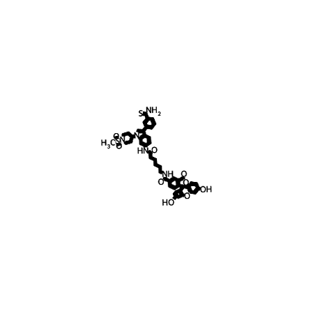 CS(=O)(=O)N1CCC(n2cc(-c3cccc(C(N)=S)c3)c3ccc(NC(=O)CCCCCNC(=O)c4ccc5c(c4)C(=O)OC54c5ccc(O)cc5Oc5cc(O)ccc54)cc32)CC1